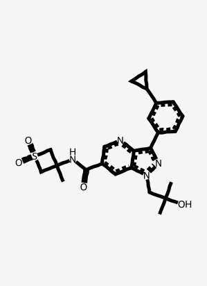 CC(C)(O)Cn1nc(-c2cccc(C3CC3)c2)c2ncc(C(=O)NC3(C)CS(=O)(=O)C3)cc21